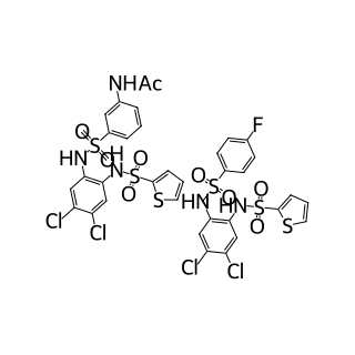 CC(=O)Nc1cccc(S(=O)(=O)Nc2cc(Cl)c(Cl)cc2NS(=O)(=O)c2cccs2)c1.O=S(=O)(Nc1cc(Cl)c(Cl)cc1NS(=O)(=O)c1cccs1)c1ccc(F)cc1